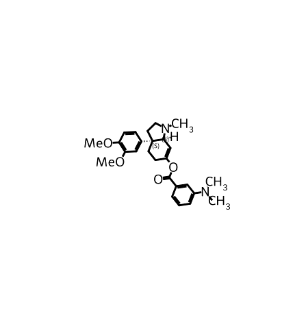 COc1ccc([C@@]23CCC(OC(=O)c4cccc(N(C)C)c4)=C[C@@H]2N(C)CC3)cc1OC